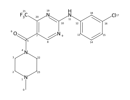 CN1CCN(C(=O)c2cnc(Nc3cccc(Cl)c3)nc2C(F)(F)F)CC1